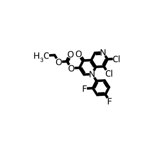 CCOC(=O)Oc1cn(-c2ccc(F)cc2F)c2c(Cl)c(Cl)ncc2c1=O